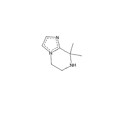 CC1(C)NCCn2ccnc21